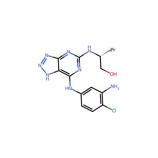 CC(C)[C@H](CO)Nc1nc(Nc2ccc(Cl)c(N)c2)c2[nH]nnc2n1